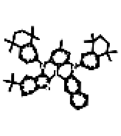 Cc1cc2c3c(c1)N(c1ccc4c(c1)C(C)(C)CCC4(C)C)c1c(sc4ccc(C(C)(C)C)cc14)B3c1cc3ccccc3cc1N2c1ccc2c(c1)C(C)(C)CCC2(C)C